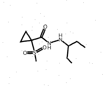 CCC(CC)NNC(=O)C1(S(C)(=O)=O)CC1